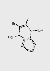 CC1=C(Br)C(O)c2ccccc2C1O